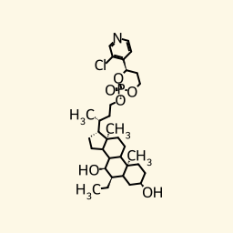 CC[C@@H]1C2C[C@H](O)CC[C@]2(C)C2CC[C@@]3(C)C(CC[C@@H]3[C@H](C)CCO[P@@]3(=O)OCC[C@H](c4ccncc4Cl)O3)C2[C@@H]1O